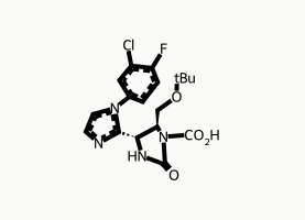 CC(C)(C)OC[C@@H]1[C@@H](c2nccn2-c2ccc(F)c(Cl)c2)NC(=O)N1C(=O)O